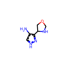 Nc1c[nH]nc1C1COCN1